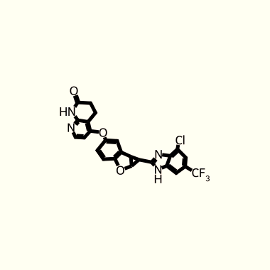 O=C1CCc2c(Oc3ccc4c(c3)C3C(O4)C3c3nc4c(Cl)cc(C(F)(F)F)cc4[nH]3)ccnc2N1